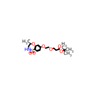 C[C@@H]1CNS(=O)(=O)c2ccc(OCCOCCC(=O)OC(C)(C)C)cc2O1